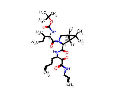 C=CCCC(NC(=O)[C@@H]1[C@@H]2[C@H](CN1C(=O)[C@@H](NC(=O)OC(C)(C)C)C(C)CC)C2(C)C)C(=O)C(=O)NCC=C